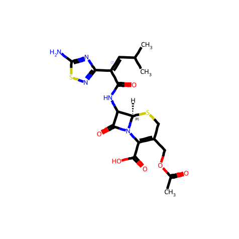 CC(=O)OCC1=C(C(=O)O)N2C(=O)C(NC(=O)/C(=C\C(C)C)c3nsc(N)n3)[C@H]2SC1